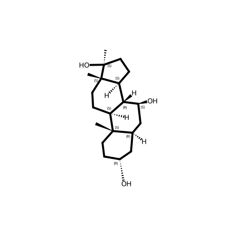 C[C@]12CC[C@@H](O)C[C@@H]1C[C@H](O)[C@@H]1[C@@H]2CC[C@@]2(C)[C@H]1CC[C@]2(C)O